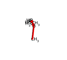 CCCCCCCCCCCCCCCCCCOc1ccc(C(C)(C)c2ccc(O)c(C(=O)O)c2)cc1